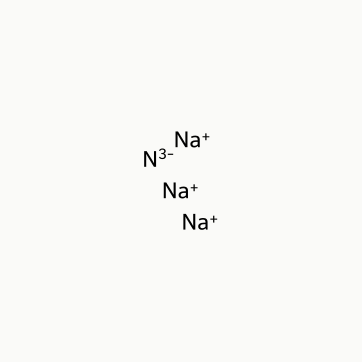 [N-3].[Na+].[Na+].[Na+]